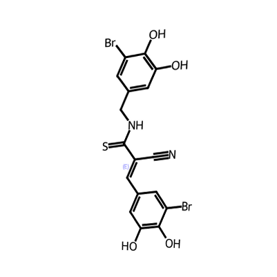 N#C/C(=C\c1cc(O)c(O)c(Br)c1)C(=S)NCc1cc(O)c(O)c(Br)c1